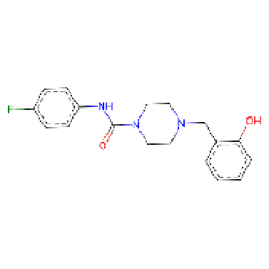 O=C(Nc1ccc(F)cc1)N1CCN(Cc2ccccc2O)CC1